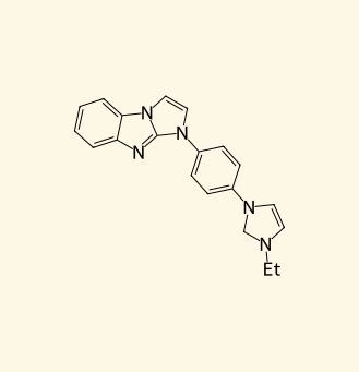 CCN1C=CN(c2ccc(-n3ccn4c5ccccc5nc34)cc2)C1